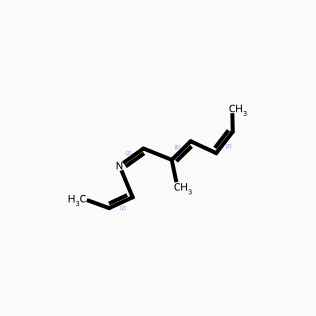 C\C=C/C=C(C)/C=N\C=C/C